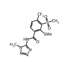 CSc1c(C(=O)Nc2nnnn2C)ccc(C(F)(F)F)c1S(C)(=O)=O